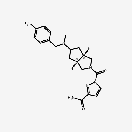 CN(Cc1ccc(C(F)(F)F)cc1)C1C[C@@H]2CN(C(=O)n3ccc(C(N)=O)n3)C[C@@H]2C1